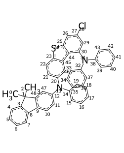 CC1(C)c2ccccc2-c2ccc(N(c3ccccc3)c3ccc4sc5cc(Cl)cc(N(c6ccccc6)c6ccccc6)c5c4c3)cc21